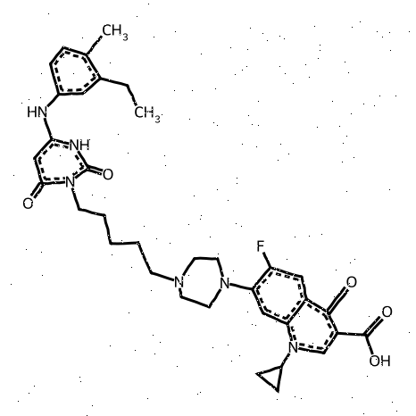 CCc1cc(Nc2cc(=O)n(CCCCCN3CCN(c4cc5c(cc4F)c(=O)c(C(=O)O)cn5C4CC4)CC3)c(=O)[nH]2)ccc1C